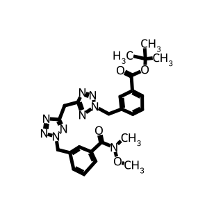 CON(C)C(=O)c1cccc(Cn2nnc(Cc3nnn(Cc4cccc(C(=O)OC(C)(C)C)c4)n3)n2)c1